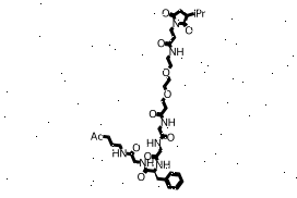 CC(=O)CCCNC(=O)CNC(=O)[C@H](Cc1ccccc1)NC(=O)CNC(=O)CNC(=O)CCOCCOCCNC(=O)CCN1C(=O)CC(C(C)C)C1=O